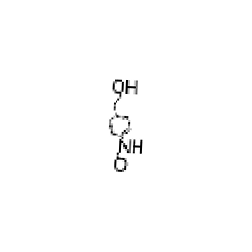 O=CNc1ccc(CCO)cc1